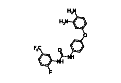 Nc1ccc(Oc2ccc(NC(=O)Nc3cc(C(F)(F)F)ccc3F)cc2)cc1N